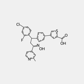 Cc1cc(C(CC(c2ccc(-c3csc(C(=O)O)c3)cc2)c2ccc(Cl)cc2F)=NO)ccn1